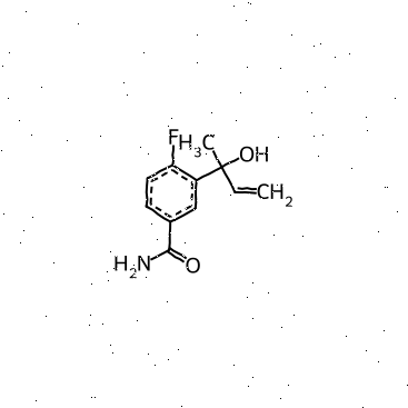 C=CC(C)(O)c1cc(C(N)=O)ccc1F